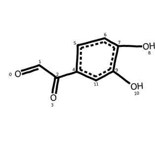 O=CC(=O)c1ccc(O)c(O)c1